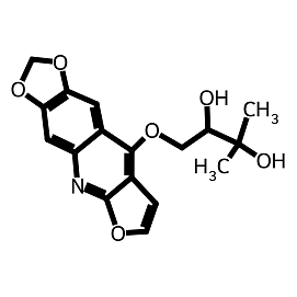 CC(C)(O)C(O)COc1c2cc3c(cc2nc2occc12)OCO3